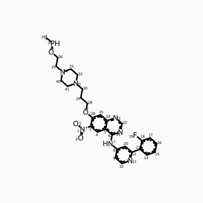 O=[N+]([O-])c1cc2c(Nc3ccnc(-c4ccccc4F)c3)ncnc2cc1OCCCN1CCN(CCOPI)CC1